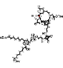 C=CC12CN(CCN(CC(=O)OC)Cc3cc(CCCNc4c(NCCOP(=O)(O)OC[C@@H](COC(O)CCCCCCCCCCCCCCCCC)OC(O)CCCCCCCCCCCCCCCCC)c(=O)c4=O)cc(n3)[C@]3(C)OC(=O)CN3C1)CC(=O)O2